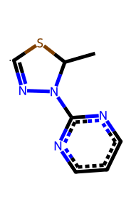 CC1S[C]=NN1c1ncccn1